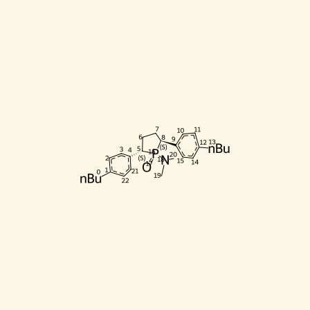 CCCCc1ccc([C@@H]2CC[C@@H](c3ccc(CCCC)cc3)P2(=O)N(C)C)cc1